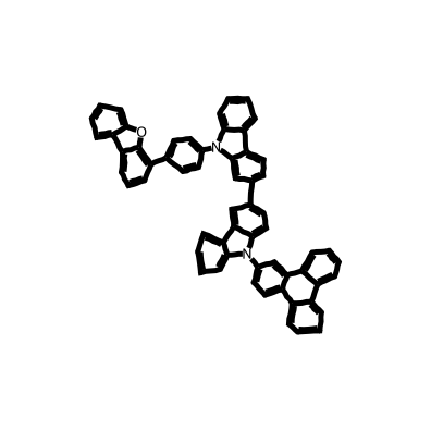 c1ccc2c(c1)oc1c(-c3ccc(-n4c5ccccc5c5ccc(-c6ccc7c(c6)c6ccccc6n7-c6ccc7c8ccccc8c8ccccc8c7c6)cc54)cc3)cccc12